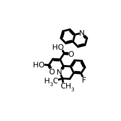 CC1(C)Cc2c(F)cccc2C(/C(=C\C(=O)O)C(=O)O)=N1.c1ccc2ncccc2c1